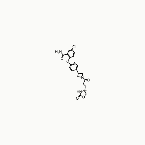 NC(=O)c1cc(Cl)ccc1Oc1ccc(C2CN(C(=O)CC[C@@H]3COC(=O)N3)C2)cn1